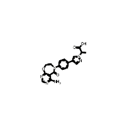 CC(C(=O)O)n1cc(-c2ccc(N3CCOc4ncnc(N)c4C3=O)cc2)cn1